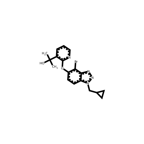 CC(C)(O)c1cccnc1Oc1ccc2c(nnn2CC2CC2)c1Br